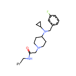 CC(C)CNC(=O)CN1CCC(N(Cc2cccc(F)c2)C2CC2)CC1